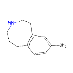 Bc1ccc2c(c1)CCNCCC2